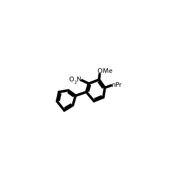 CCCc1ccc(-c2ccccc2)c([N+](=O)[O-])c1OC